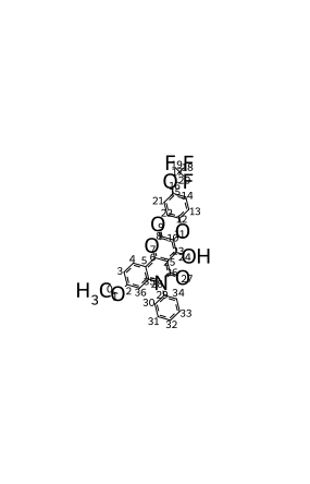 COc1ccc2c3oc(=O)c(Oc4ccc(OC(F)(F)F)cc4)c(O)c3c(=O)n(-c3ccccc3)c2c1